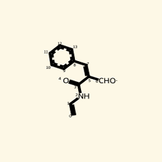 C=CNC(=O)C([C]=O)=Cc1ccccc1